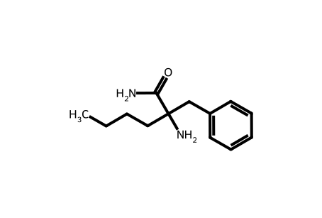 CCCCC(N)(Cc1ccccc1)C(N)=O